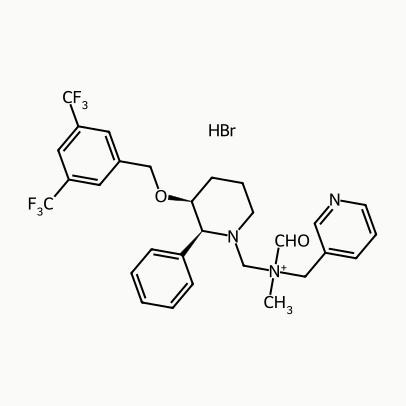 Br.C[N+](C=O)(Cc1cccnc1)CN1CCC[C@H](OCc2cc(C(F)(F)F)cc(C(F)(F)F)c2)[C@@H]1c1ccccc1